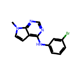 Cn1ccc2c(Nc3cccc(Br)c3)ncnc21